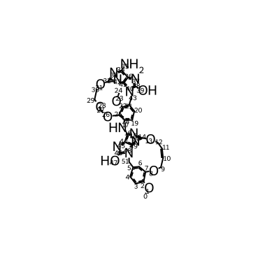 COc1ccc2cc1OC/C=C\COc1nc(Nc3ccc4c(OC)c3OCCCCOc3nc(N)c5nc(O)n(c5n3)C4)c3nc(O)n(c3n1)C2